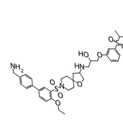 CCOc1ccc(-c2ccc(CN)cc2)cc1S(=O)(=O)N1CCC2(CC1)CC(NCC(O)COc1cccc(S(=O)(=O)C(C)C)c1)CO2